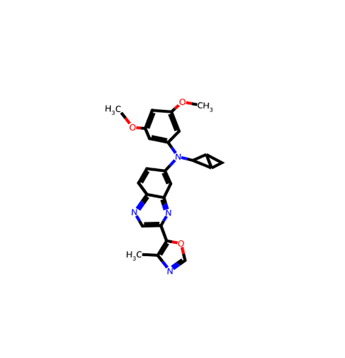 COc1cc(OC)cc(N(c2ccc3ncc(-c4ocnc4C)nc3c2)C2C3CC32)c1